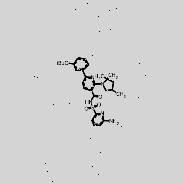 CC(C)COc1cccc(-c2ccc(C(=O)NS(=O)(=O)c3cccc(N)n3)c(N3CC(C)CC3(C)C)n2)c1